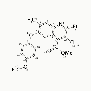 CCc1nc2cc(C(F)(F)F)c(Oc3ccc(OC(F)(F)F)cc3)cc2c(C(=O)OC)c1C